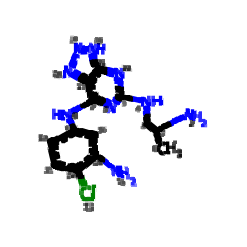 CC(N)CNc1nc(Nc2ccc(Cl)c(N)c2)c2nn[nH]c2n1